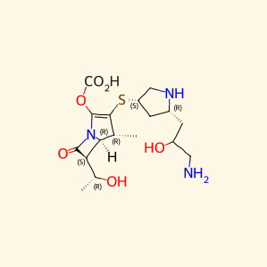 C[C@@H](O)[C@H]1C(=O)N2C(OC(=O)O)=C(S[C@@H]3CN[C@H](CC(O)CN)C3)[C@H](C)[C@@H]12